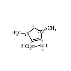 CN1C=CN(C)C1.O=C(O)O